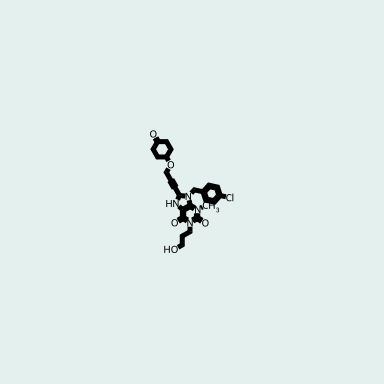 Cn1c2c(c(=O)n(CCCO)c1=O)NC(C#CCOC1CCC(=O)CC1)N2Cc1ccc(Cl)cc1